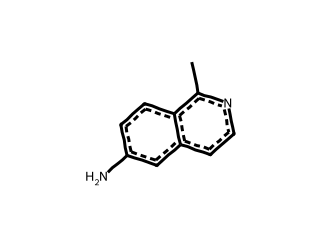 Cc1nccc2cc(N)ccc12